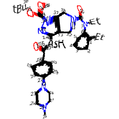 CCc1ccccc1N(CC)C(=O)N1Cc2c([AsH]C(=O)c3ccc(N4CCN(C)CC4)cc3)nn(C(=O)OC(C)(C)C)c2C1